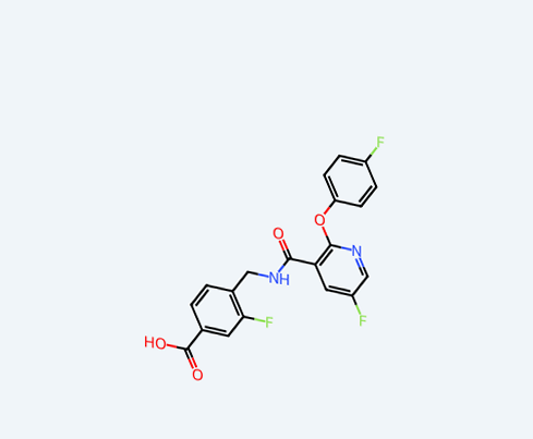 O=C(O)c1ccc(CNC(=O)c2cc(F)cnc2Oc2ccc(F)cc2)c(F)c1